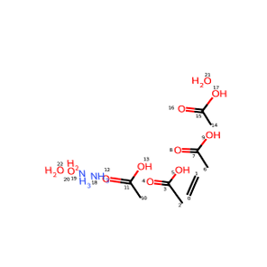 C=C.CC(=O)O.CC(=O)O.CC(=O)O.CC(=O)O.N.N.O.O.O